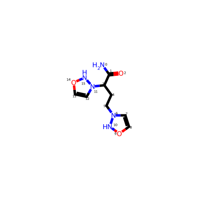 NC(=O)C(CCN1C=CON1)N1C=CON1